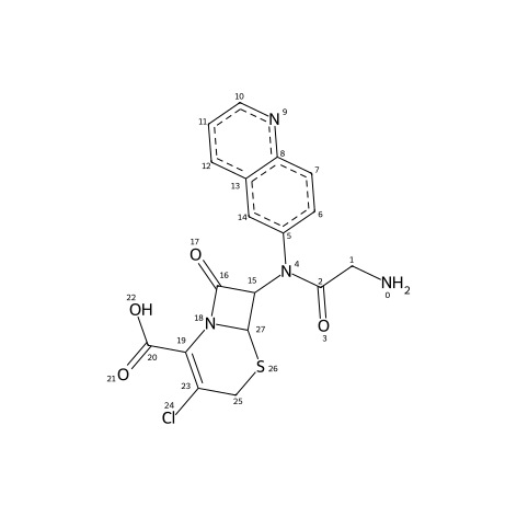 NCC(=O)N(c1ccc2ncccc2c1)C1C(=O)N2C(C(=O)O)=C(Cl)CSC12